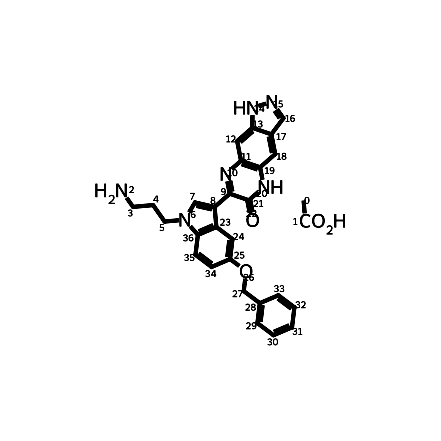 CC(=O)O.NCCCn1cc(-c2nc3cc4[nH]ncc4cc3[nH]c2=O)c2cc(OCc3ccccc3)ccc21